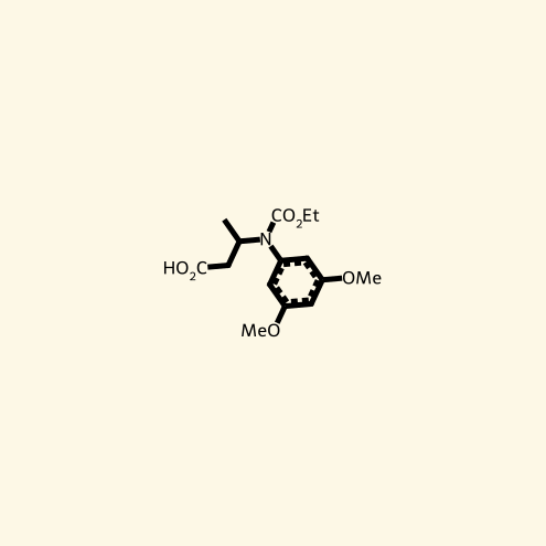 CCOC(=O)N(c1cc(OC)cc(OC)c1)C(C)CC(=O)O